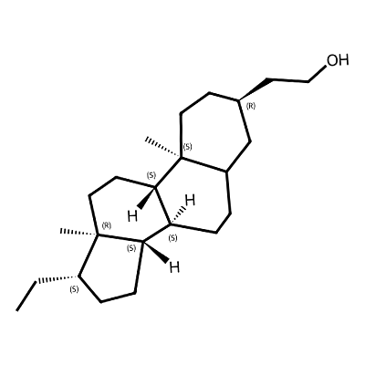 CC[C@H]1CC[C@H]2[C@@H]3CCC4C[C@H](CCO)CC[C@]4(C)[C@H]3CC[C@]12C